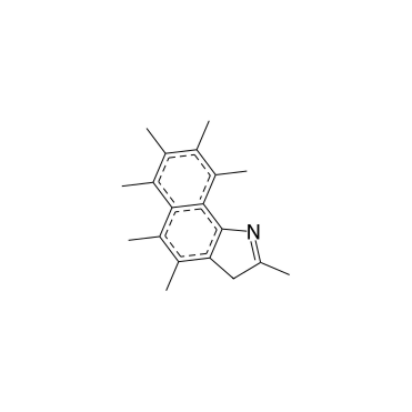 CC1=Nc2c(c(C)c(C)c3c(C)c(C)c(C)c(C)c23)C1